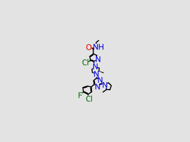 CCNC(=O)c1cnc(N2CCN(c3cc(-c4ccc(F)c(Cl)c4)nc(N4CCCC4C)n3)[C@H](C)C2)c(Cl)c1